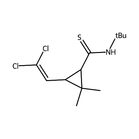 CC(C)(C)NC(=S)C1C(C=C(Cl)Cl)C1(C)C